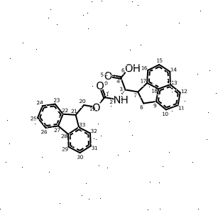 O=C(N[C@H](C(=O)O)C1Cc2cccc3cccc1c23)OCC1c2ccccc2-c2ccccc21